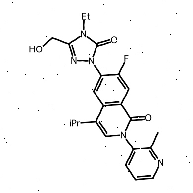 CCn1c(CO)nn(-c2cc3c(C(C)C)cn(-c4cccnc4C)c(=O)c3cc2F)c1=O